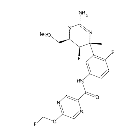 COC[C@H]1SC(N)=N[C@](C)(c2cc(NC(=O)c3cnc(OCF)cn3)ccc2F)[C@H]1F